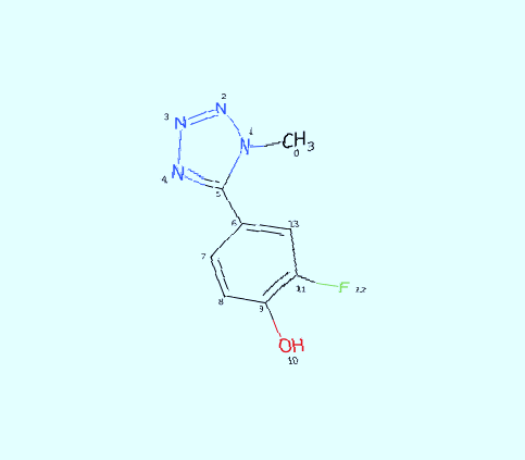 Cn1nnnc1-c1ccc(O)c(F)c1